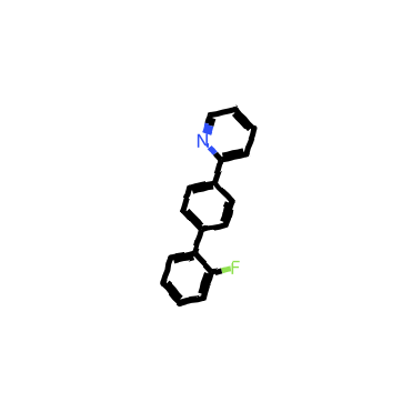 Fc1ccccc1-c1ccc(-c2ccccn2)cc1